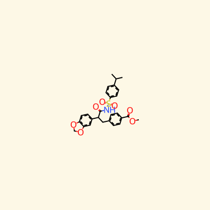 COC(=O)c1ccc(CC(C(=O)NS(=O)(=O)c2ccc(C(C)C)cc2)c2ccc3c(c2)OCO3)cc1